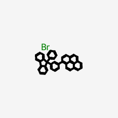 Brc1cccc(C2(c3cccc(-c4ccc5ccc6cccc7ccc4c5c67)c3)c3ccccc3-c3ccccc32)c1